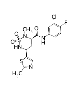 Cc1ncc([C@@H]2C[C@H](C(=O)Nc3ccc(F)c(Cl)c3)N(C)S(=O)(=O)N2)s1